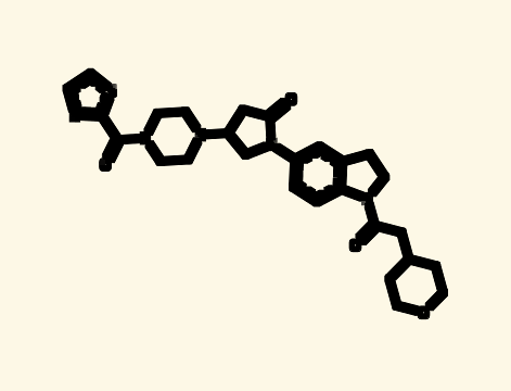 O=C(c1nccs1)N1CCN(C2CC(=O)N(c3ccc4c(c3)CCN4C(=O)CC3CCOCC3)C2)CC1